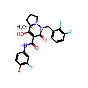 C[C@]12CCCN1N(Cc1cccc(F)c1F)C(=O)C(C(=O)Nc1ccc(Br)c(F)c1)=C2O